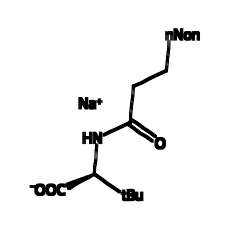 CCCCCCCCCCCC(=O)N[C@H](C(=O)[O-])C(C)(C)C.[Na+]